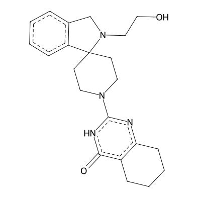 O=c1[nH]c(N2CCC3(CC2)c2ccccc2CN3CCO)nc2c1CCCC2